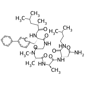 CC(C)CCNC(=O)[C@H](CC(N)=O)NC(=O)[C@@H](C)NC(=O)[C@H](C)N(C)C(=O)CNC(=O)[C@H](Cc1ccc(-c2ccccc2)cc1)NC(=O)[C@@H](C)CC(C)C